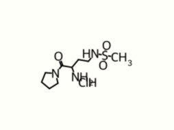 CS(=O)(=O)NCCC(N)C(=O)N1CCCC1.Cl